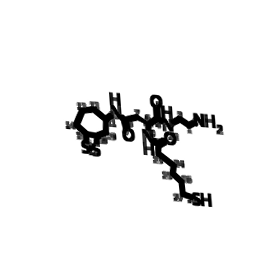 NCCNC(=O)[C@H](CC(=O)NC1CCCC2SSC2C1)NC(=O)CCCCCS